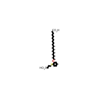 O=C(O)CCCCCCCCCCCCCCCCCCOc1ccccc1SCCCC(=O)O